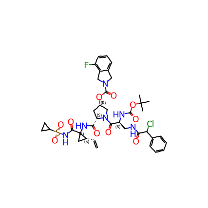 C=C[C@@H]1C[C@]1(NC(=O)[C@@H]1C[C@@H](OC(=O)N2Cc3cccc(F)c3C2)CN1C(=O)[C@H](CNC(=O)C(Cl)c1ccccc1)NC(=O)OC(C)(C)C)C(=O)NS(=O)(=O)C1CC1